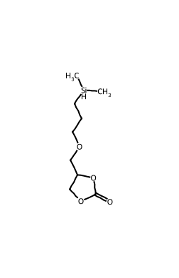 C[SiH](C)CCCOCC1COC(=O)O1